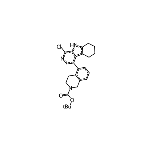 CC(C)(C)OC(=O)N1CCc2c(cccc2-c2cnc(Cl)c3[nH]c4c(c23)CCCC4)C1